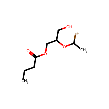 CCCC(=O)OCC(CO)OC(C)S